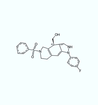 O=S(=O)(c1ccccc1)N1CCC2=C(C1)[C@@H](CO)C1=CNN(c3ccc(F)cc3)C1=C2